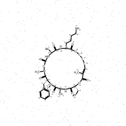 CCC(C)[C@@H]1NC(=O)CN(C)C(=O)[C@@H](Cc2ccccc2)N(C)C(=O)[C@H](C)NC(=O)[C@@H](CC(C)C)OC(=O)/C(C)=C/CCCOC(=O)[C@H](CCCCN)NC1=O